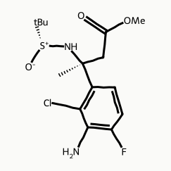 COC(=O)C[C@](C)(N[S@+]([O-])C(C)(C)C)c1ccc(F)c(N)c1Cl